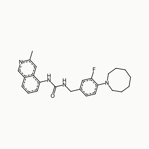 Cc1cc2c(NC(=O)NCc3ccc(N4CCCCCCC4)c(F)c3)cccc2cn1